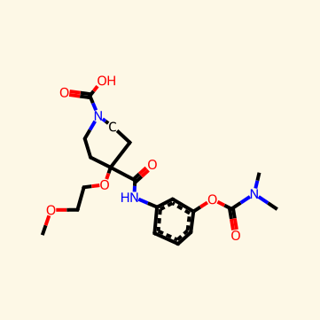 COCCOC1(C(=O)Nc2cccc(OC(=O)N(C)C)c2)CCN(C(=O)O)CC1